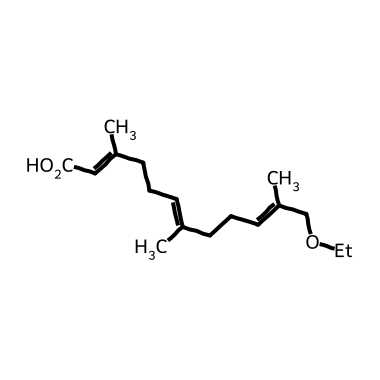 CCOCC(C)=CCCC(C)=CCCC(C)=CC(=O)O